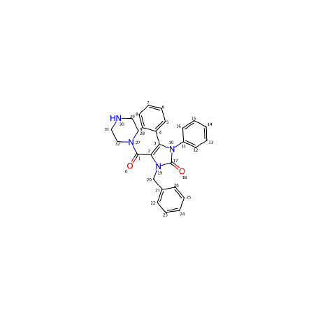 O=C(c1c(-c2ccccc2)n(-c2ccccc2)c(=O)n1Cc1ccccc1)N1CCNCC1